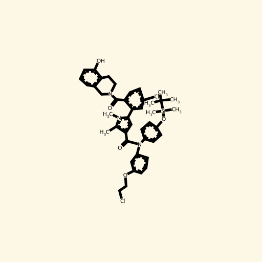 Cc1c(C(=O)N(c2ccc(O[Si](C)(C)C(C)(C)C)cc2)c2cccc(OCCCl)c2)cc(-c2cc(Cl)ccc2C(=O)N2CCc3c(O)cccc3C2)n1C